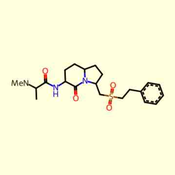 CNC(C)C(=O)NC1CCC2CCC(CS(=O)(=O)CCc3ccccc3)N2C1=O